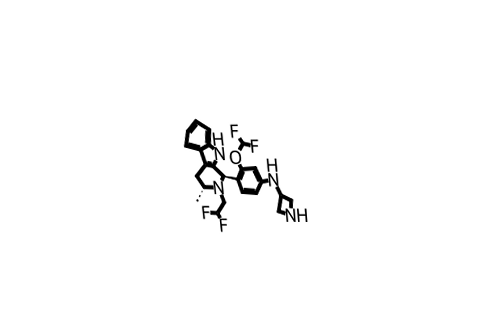 C[C@@H]1Cc2c([nH]c3ccccc23)[C@@H](c2ccc(NC3CNC3)cc2OC(F)F)N1CC(F)F